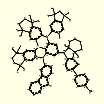 Cc1cc2c(cc1N1c3cc4c(cc3B3c5cc6c(cc5N(c5ccc7sc8ccccc8c7c5)c5cc(N7c8ccc(-c9ccc(C(C)(C)C)cc9)cc8C8(C)CCCCC78C)cc1c53)C(C)(C)CCC6(C)C)C(C)(C)CCC4(C)C)C(C)(C)CC2(C)C